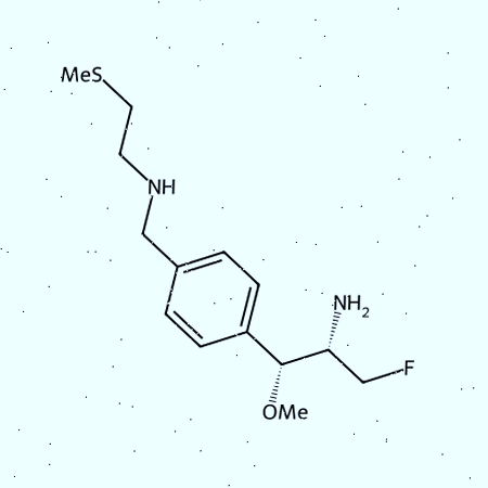 CO[C@H](c1ccc(CNCCSC)cc1)[C@H](N)CF